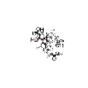 CCC[PH](CCC[PH](CCC)(C1CCC(C(=O)O)C1)C1CCC(C(=O)O)C1)(C1CCC(C(=O)O)C1)C1CCC(C(=O)O)C1